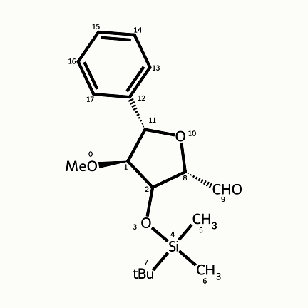 CO[C@@H]1C(O[Si](C)(C)C(C)(C)C)[C@@H](C=O)O[C@H]1c1ccccc1